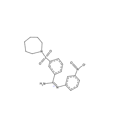 N/C(=N/c1cccc([N+](=O)[O-])c1)c1cccc(S(=O)(=O)N2CCCCCC2)c1